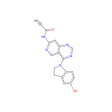 C#CC(=O)Nc1cc2ncnc(N3CCc4cc(O)ccc43)c2cn1